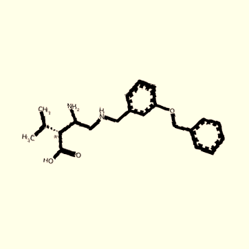 CC(C)[C@@H](C(=O)O)C(N)CNCc1cccc(OCc2ccccc2)c1